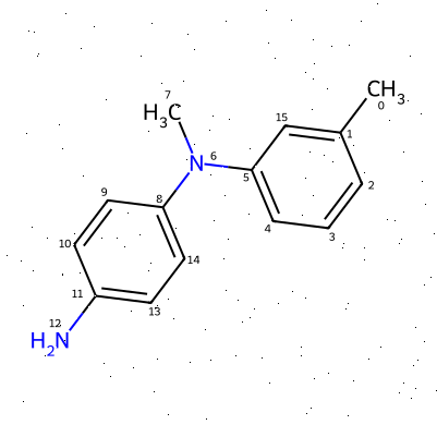 Cc1cccc(N(C)c2ccc(N)cc2)c1